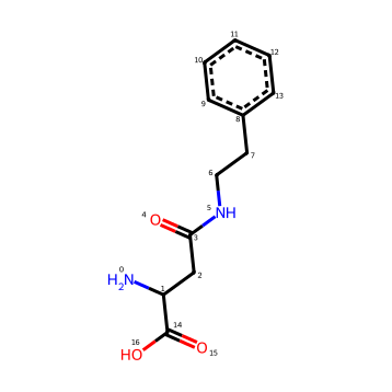 NC(CC(=O)NCCc1ccccc1)C(=O)O